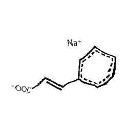 O=C([O-])C=Cc1ccccc1.[Na+]